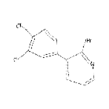 CC(C)c1ncccc1-c1ccc(Cl)c(Cl)c1